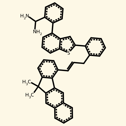 CC1(C)c2cc3ccccc3cc2-c2c(/C=C/Cc3ccccc3-c3cc4c(-c5ccccc5C(N)N)cccc4s3)cccc21